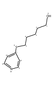 OCCCCCSc1ccncc1